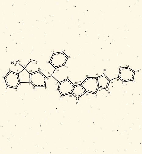 CC1(C)c2ccccc2-c2ccc(N(c3ccccc3)c3ccc4oc5cc6oc(-c7ccccc7)nc6cc5c4c3)cc21